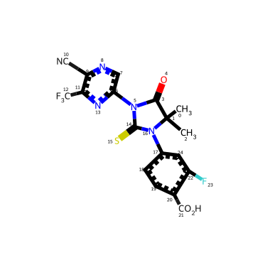 CC1(C)C(=O)N(c2cnc(C#N)c(C(F)(F)F)n2)C(=S)N1c1ccc(C(=O)O)c(F)c1